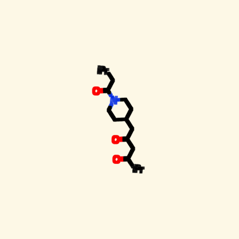 CC(C)CC(=O)N1CCC(CC(=O)CC(=O)C(C)C)CC1